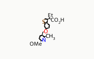 CCC(C(=O)O)c1csc2cc(OCc3ccc(OC)nc3C)ccc12